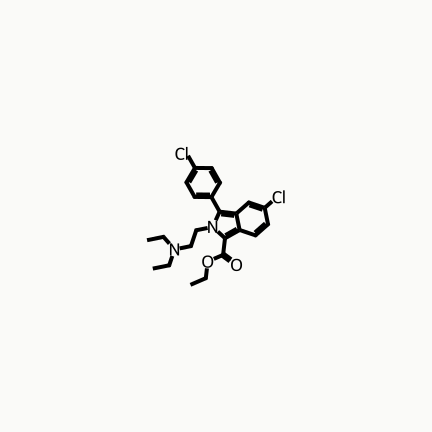 CCOC(=O)c1c2ccc(Cl)cc2c(-c2ccc(Cl)cc2)n1CCN(CC)CC